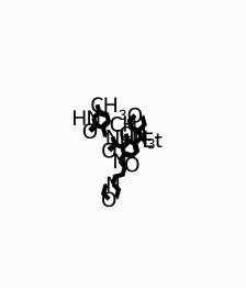 CCN(c1cc2oc(CCN3CCOCC3)nc2c(C(=O)NCc2c(C)cc(C)[nH]c2=O)c1C)C1CCOCC1